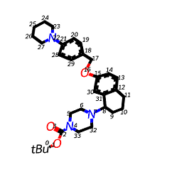 CC(C)(C)OC(=O)N1CCN(C2CCCc3ccc(OCc4ccc(N5CCCCC5)cc4)cc32)CC1